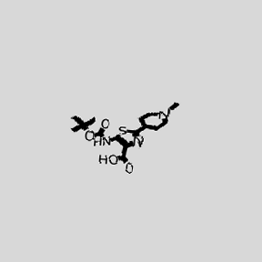 CN1CC=C(c2nc(C(=O)O)c(NC(=O)OC(C)(C)C)s2)CC1